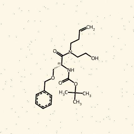 C=CCCN(CCO)C(=O)[C@@H](COCc1ccccc1)NC(=O)OC(C)(C)C